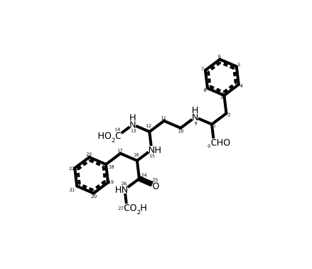 O=CC(Cc1ccccc1)NCCC(NC(=O)O)NC(Cc1ccccc1)C(=O)NC(=O)O